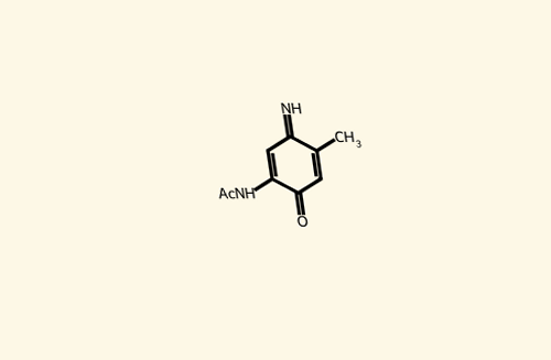 CC(=O)NC1=CC(=N)C(C)=CC1=O